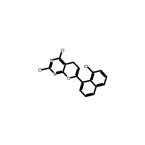 Clc1nc(Cl)c2c(n1)OC(c1cccc3cccc(Cl)c13)=CC2